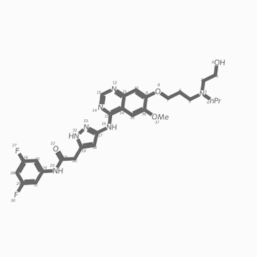 CCCN(CCO)CCCOc1cc2ncnc(Nc3cc(CC(=O)Nc4cc(F)cc(F)c4)[nH]n3)c2cc1OC